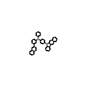 c1ccc(N(c2ccc(-n3c4ccccc4c4cc5ccccc5cc43)cc2)c2cccc(-c3ccc4ccccc4c3)c2)cc1